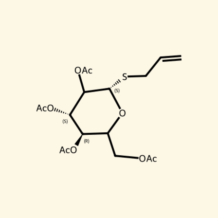 C=CCS[C@@H]1OC(COC(C)=O)[C@@H](OC(C)=O)[C@H](OC(C)=O)C1OC(C)=O